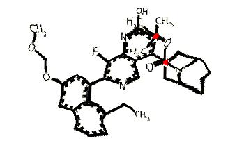 CCc1cccc2cc(OCOC)cc(-c3ncc4c(N5CC6CCC(C5)N6C(=O)OC(C)(C)C)nc(O)nc4c3F)c12